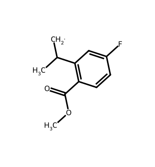 [CH2]C(C)c1cc(F)ccc1C(=O)OC